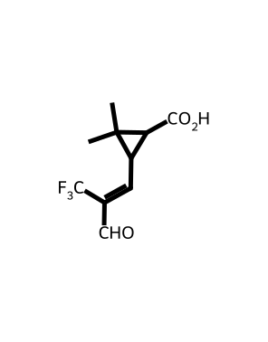 CC1(C)C(C=C(C=O)C(F)(F)F)C1C(=O)O